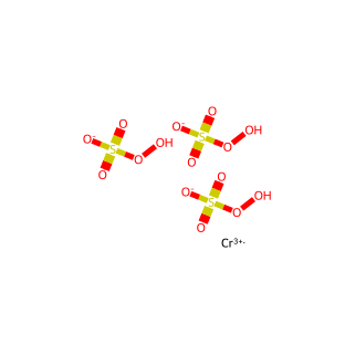 O=S(=O)([O-])OO.O=S(=O)([O-])OO.O=S(=O)([O-])OO.[Cr+3]